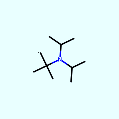 [CH2]C(C)(C)N(C(C)C)C(C)C